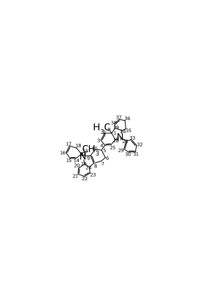 CC12C=CC(C3CCC4=C(C3)N(C3(C)C=CC=CC3)C3C=CC=CC43)=CC1N(c1ccccc1)C1CCC=CC12